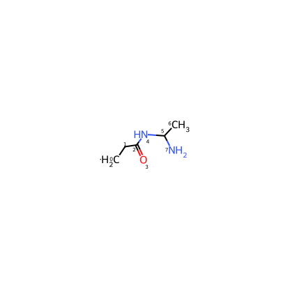 [CH2]CC(=O)NC(C)N